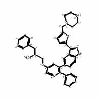 N[C@H](COc1cnc(-c2ccccc2)c(-c2ccc3[nH]nc(-c4ccc(CN5CCNCC5)o4)c3c2)c1)Cc1ccccc1